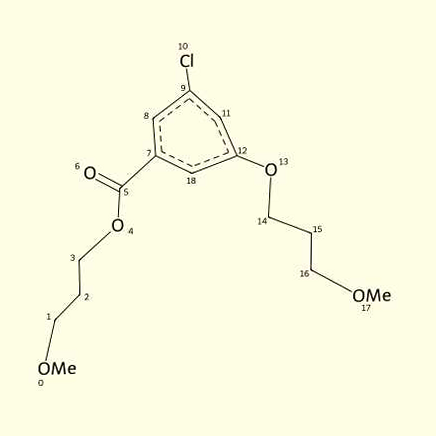 COCCCOC(=O)c1cc(Cl)cc(OCCCOC)c1